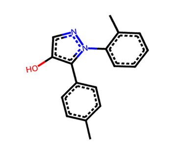 Cc1ccc(-c2c(O)cnn2-c2ccccc2C)cc1